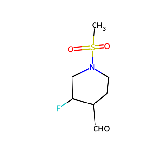 CS(=O)(=O)N1CCC(C=O)C(F)C1